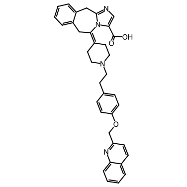 O=C(O)c1cnc2n1C(=C1CCN(CCc3ccc(OCc4ccc5ccccc5n4)cc3)CC1)Cc1ccccc1C2